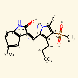 COc1ccc2c(c1)/C(=C/c1[nH]c(C)c(S(C)(=O)=O)c1CCC(=O)O)C(=O)N2